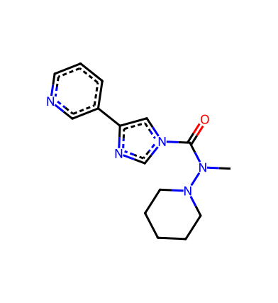 CN(C(=O)n1cnc(-c2cccnc2)c1)N1CCCCC1